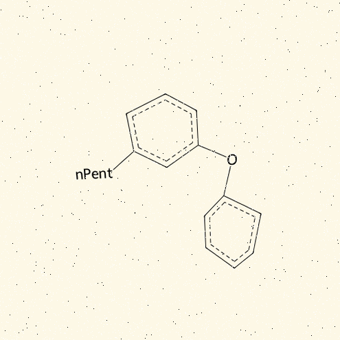 [CH2]CCCCc1cccc(Oc2ccccc2)c1